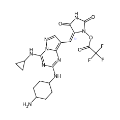 NC1CCC(Nc2nc(NC3CC3)n3ncc(/C=C4\C(=O)NC(=O)N4OC(=O)C(F)(F)F)c3n2)CC1